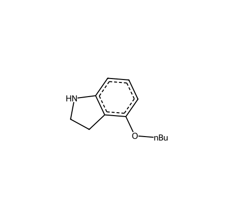 CCCCOc1cccc2c1CCN2